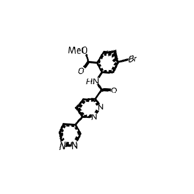 COC(=O)c1ccc(Br)cc1NC(=O)c1ccc(-c2ccnnc2)nn1